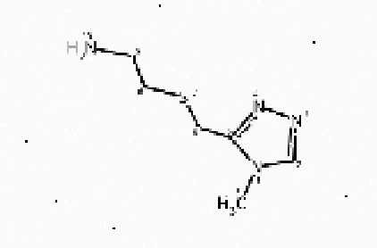 Cn1cnnc1CSCCN